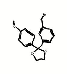 COc1ccc(C2(c3cccc(CBr)c3)OCCO2)cc1